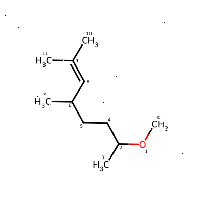 COC(C)CCC(C)C=C(C)C